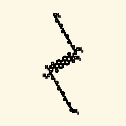 CCCOCCOCCOCCOCCOCCOCC(C)OCC(C)N1C(=O)c2ccc3c4ccc5c6c(ccc(c7ccc(c2c37)C1=O)c64)C(=O)N(C(C)COC(C)COCCOCCOCCOCCOCCOCCOC)C5=O